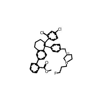 COC(=O)c1ccccc1-c1ccc2c(c1)CCCC(c1ccc(Cl)cc1Cl)=C2c1ccc(C[C@H]2CCN(CCCF)C2)cc1